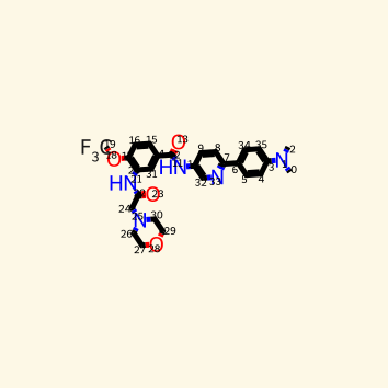 CN(C)c1ccc(-c2ccc(NC(=O)c3ccc(OC(F)(F)F)c(NC(=O)CN4CCOCC4)c3)cn2)cc1